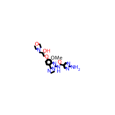 COc1c(OC[C@@H](O)CN2CCOCC2)ccc2c1N=C(NC(=O)c1cnc(N)nc1)N1CCN=C21